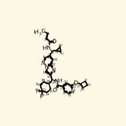 CCCC(=O)N[C@@H](c1cnn2cc([C@@H](NC(=O)c3ccnc(OC4CCC4)c3)C3CCC(F)(F)CC3)nc2c1)C1CC1